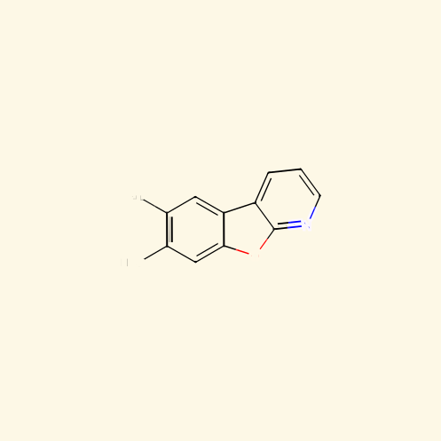 Cc1cc2oc3ncccc3c2cc1C(C)(C)C